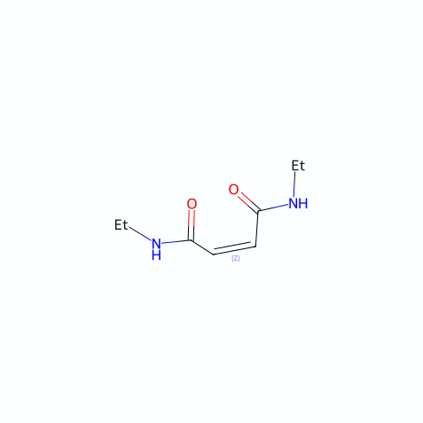 CCNC(=O)/C=C\C(=O)NCC